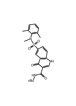 CCCCNC(=O)c1c[nH]c2ccc(S(=O)(=O)N(C)c3c(C)cccc3C)cc2c1=O